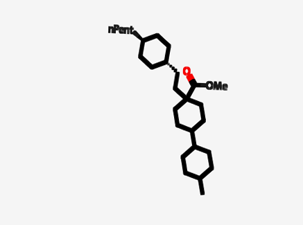 CCCCC[C@H]1CC[C@H](CCC2(C(=O)OC)CCC(C3CCC(C)CC3)CC2)CC1